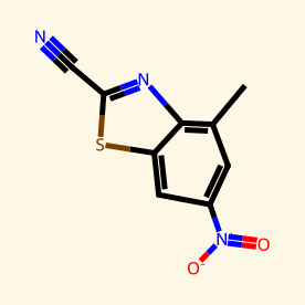 Cc1cc([N+](=O)[O-])cc2sc(C#N)nc12